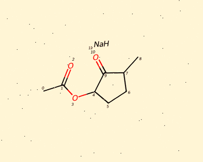 CC(=O)OC1CCC(C)C1=O.[NaH]